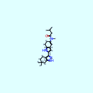 CC(C)CC(=O)N(C)C1=Cc2cc(-c3n[nH]c4c3CCC(C)(C)C4)[nH]c2CC1